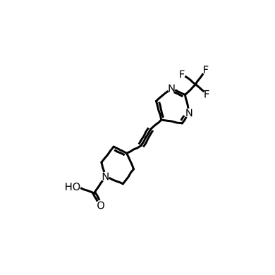 O=C(O)N1CC=C(C#Cc2cnc(C(F)(F)F)nc2)CC1